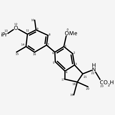 COc1cc2c(cc1-c1cc(C)c(OC(C)C)c(C)c1)CC(C)(C)C2NC(=O)O